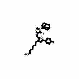 O=C1/C(=C\c2oc(-c3ccc(F)cc3)cc2CCCCCCO)SC(=S)N1C1C2CC3CC(C2)CC1C3